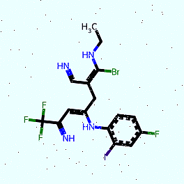 CCN/C(Br)=C(\C=N)C/C(=C/C(=N)C(F)(F)F)Nc1ccc(F)cc1I